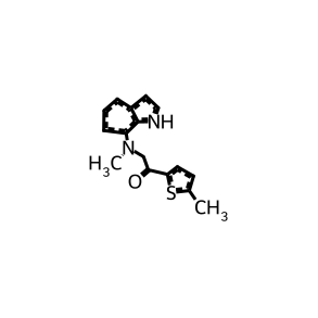 Cc1ccc(C(=O)CN(C)c2cccc3cc[nH]c23)s1